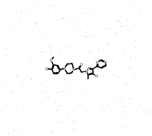 COc1cc(N2CCN(C(=O)Cn3nc(-c4ccncn4)c(Cl)c3C)CC2)ccc1Cl